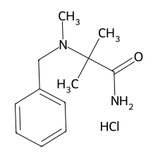 CN(Cc1ccccc1)C(C)(C)C(N)=O.Cl